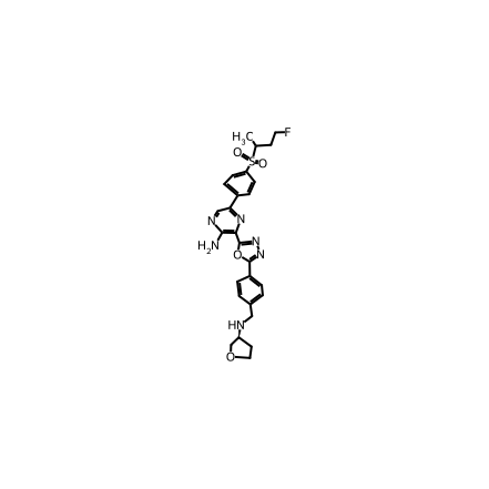 CC(CCF)S(=O)(=O)c1ccc(-c2cnc(N)c(-c3nnc(-c4ccc(CN[C@H]5CCOC5)cc4)o3)n2)cc1